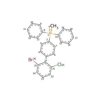 C[PH](c1ccccc1)(c1ccccc1)c1ccccc1.Clc1cccc(Br)c1